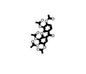 CC(=O)Oc1cc2c(=O)c3ccc(OC(C)=O)c(OC(C)=O)c3oc2c(OC(C)=O)c1OC(C)=O